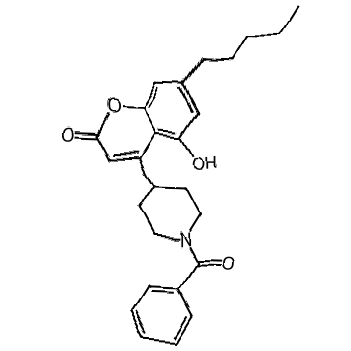 CCCCCc1cc(O)c2c(C3CCN(C(=O)c4ccccc4)CC3)cc(=O)oc2c1